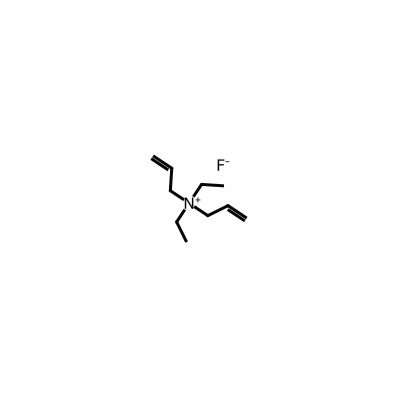 C=CC[N+](CC)(CC)CC=C.[F-]